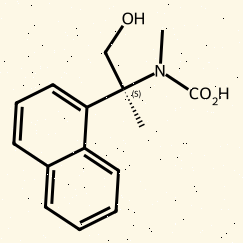 CN(C(=O)O)[C@](C)(CO)c1cccc2ccccc12